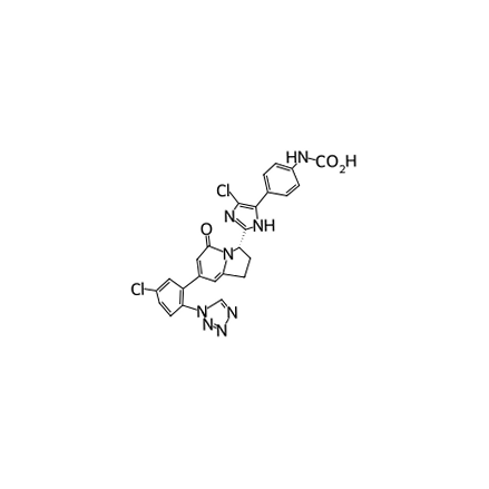 O=C(O)Nc1ccc(-c2[nH]c([C@@H]3CCc4cc(-c5cc(Cl)ccc5-n5cnnn5)cc(=O)n43)nc2Cl)cc1